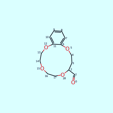 O=CC1CCOc2ccccc2OCCOCCO1